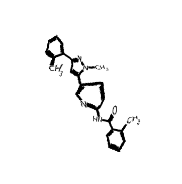 Cc1ccccc1C(=O)Nc1ccc(-c2cc(-c3ccccc3C)nn2C)cn1